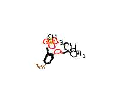 CC(C)COc1ccc(Br)cc1COS(C)(=O)=O